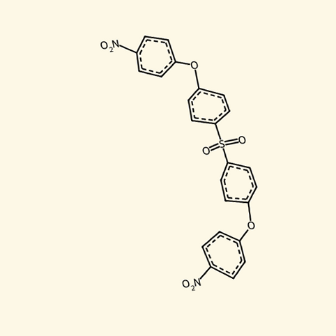 O=[N+]([O-])c1ccc(Oc2ccc(S(=O)(=O)c3ccc(Oc4ccc([N+](=O)[O-])cc4)cc3)cc2)cc1